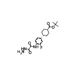 CC(C)(C)OC(=O)[C@H]1CC[C@H](c2ccc(NC(=O)C(=O)NN)c(F)c2)CC1